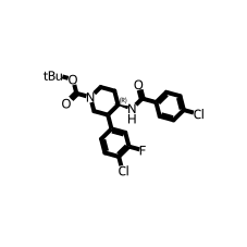 CC(C)(C)OC(=O)N1CC[C@@H](NC(=O)c2ccc(Cl)cc2)C(c2ccc(Cl)c(F)c2)C1